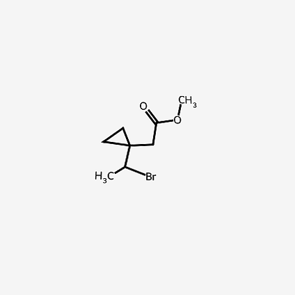 COC(=O)CC1(C(C)Br)CC1